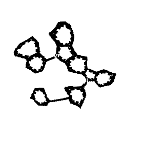 c1ccc(-c2cccc(-n3c4ccccc4c4cc5c6ccccc6n(-c6cccc7ccccc67)c5cc43)c2)cc1